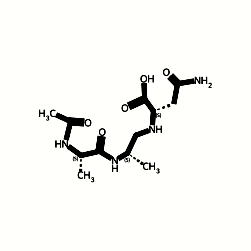 CC(=O)N[C@@H](C)C(=O)N[C@@H](C)CN[C@@H](CC(N)=O)C(=O)O